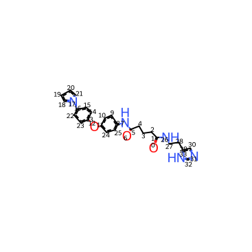 O=C(CCCC(=O)Nc1ccc(Oc2ccc(-n3cccc3)cc2)cc1)NCCc1cnc[nH]1